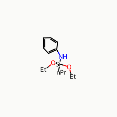 CCC[Si](Nc1ccccc1)(OCC)OCC